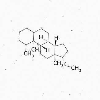 CC[C@H]1CC[C@H]2[C@@H]3CCC4CCCC(C)[C@]4(C)[C@H]3CC[C@]12C